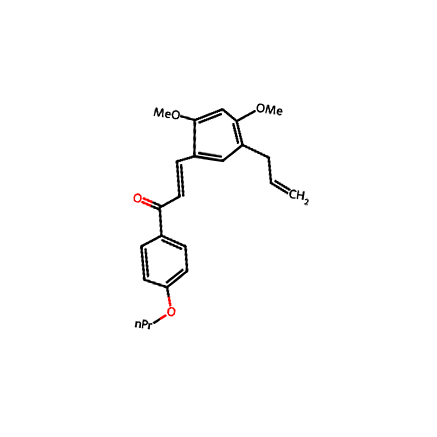 C=CCc1cc(/C=C/C(=O)c2ccc(OCCC)cc2)c(OC)cc1OC